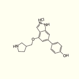 Cl.Oc1ccc(-c2cc(OCC3CCNC3)c3cn[nH]c3c2)cc1